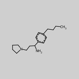 CCCCc1ccc(C(N)CCN2CCCC2)cc1